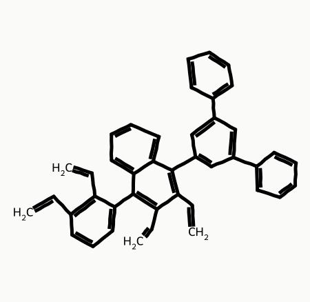 C=Cc1cccc(-c2c(C=C)c(C=C)c(-c3cc(-c4ccccc4)cc(-c4ccccc4)c3)c3ccccc23)c1C=C